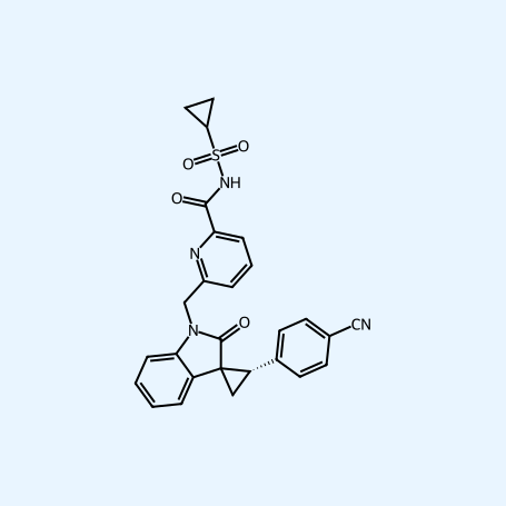 N#Cc1ccc([C@@H]2CC23C(=O)N(Cc2cccc(C(=O)NS(=O)(=O)C4CC4)n2)c2ccccc23)cc1